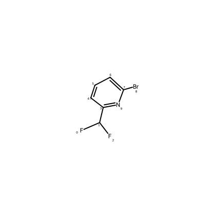 FC(F)c1[c]ccc(Br)n1